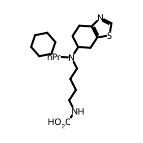 C1CCCCC1.CCCN(CCCCNC(=O)O)C1CCc2ncsc2C1